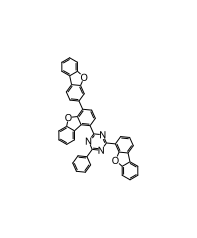 c1ccc(-c2nc(-c3cccc4c3oc3ccccc34)nc(-c3ccc(-c4ccc5c(c4)oc4ccccc45)c4oc5ccccc5c34)n2)cc1